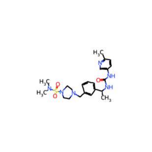 Cc1ccc(NC(=O)N[C@@H](C)c2cccc(CN3CCN(S(=O)(=O)N(C)C)CC3)c2)cn1